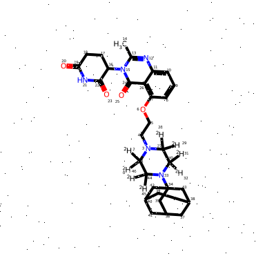 [2H]C1([2H])N(CCOc2cccc3nc(C)n(C4CCC(=O)NC4=O)c(=O)c23)C([2H])([2H])C([2H])([2H])N(C23CC4CC(CC(C4)C2)C3)C1([2H])[2H]